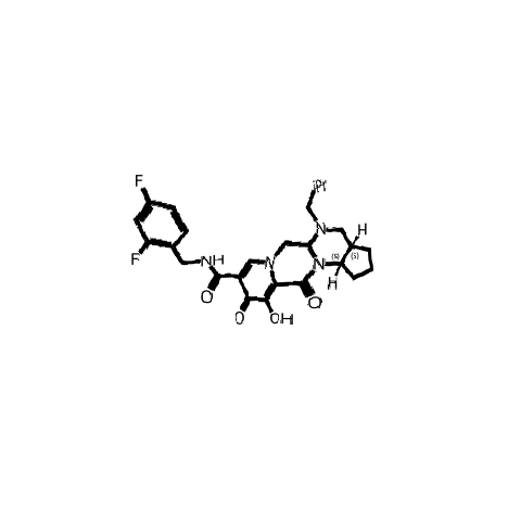 CC(C)CN1C[C@@H]2CCC[C@@H]2N2C(=O)c3c(O)c(=O)c(C(=O)NCc4ccc(F)cc4F)cn3CC12